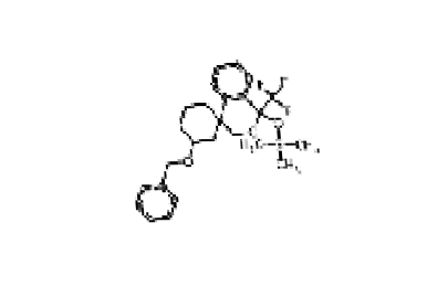 C[Si](C)(C)OC1(C(F)(F)F)OCC2(CCCC(OCc3ccccc3)C2)c2ccccc21